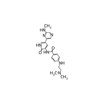 CNc1cncc(-c2c[nH]c(=O)c(NC(=O)c3ccc(NCCN(C)C)cc3)c2)n1